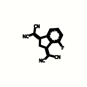 N#CC(C#N)=C1CC(=C(C#N)C#N)c2c(F)cccc21